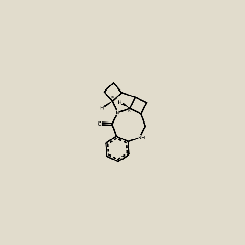 O=C1c2ccccc2NCC2CC3C4CC[C@H]4N1[C@@H]23